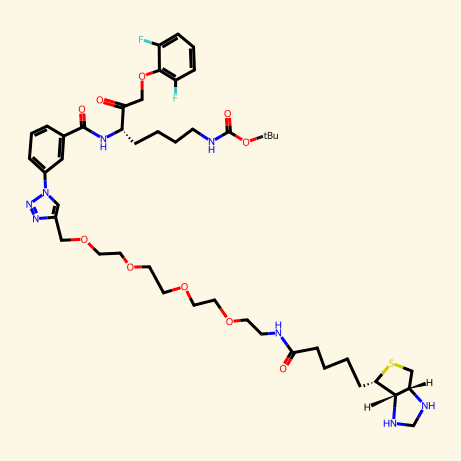 CC(C)(C)OC(=O)NCCCC[C@H](NC(=O)c1cccc(-n2cc(COCCOCCOCCOCCNC(=O)CCCC[C@@H]3SC[C@@H]4NCN[C@@H]43)nn2)c1)C(=O)COc1c(F)cccc1F